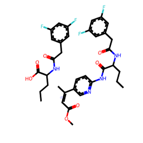 CCCC(NC(=O)Cc1cc(F)cc(F)c1)C(=O)Nc1ccc(/C(C)=C\C(=O)OC)cn1.CCCC(NC(=O)Cc1cc(F)cc(F)c1)C(=O)O